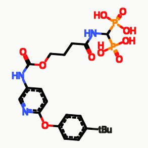 CC(C)(C)c1ccc(Oc2ccc(NC(=O)OCCCC(=O)NC(P(=O)(O)O)P(=O)(O)O)cn2)cc1